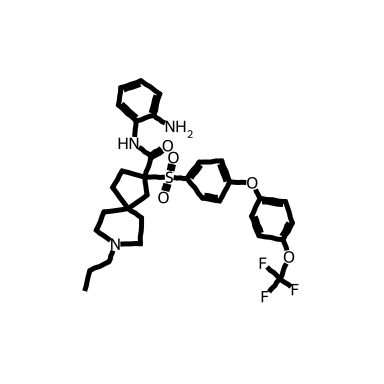 CCCN1CCC2(CC1)CCC(C(=O)Nc1ccccc1N)(S(=O)(=O)c1ccc(Oc3ccc(OC(F)(F)F)cc3)cc1)C2